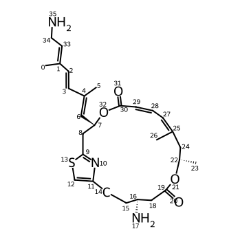 CC(/C=C/C(C)=C/[C@@H]1Cc2nc(cs2)CC[C@@H](N)CC(=O)O[C@@H](C)C/C(C)=C/C=C\C(=O)O1)=C\CN